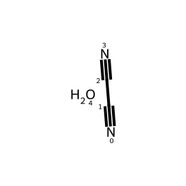 N#CC#N.O